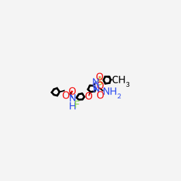 Cc1ccc(S(=O)(=O)/N=c2/ccc(Oc3ccc(NC(=O)OCc4ccccc4)c(F)c3)cn2CC(N)=O)cc1